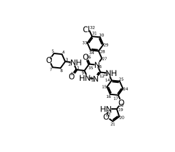 O=C(NC1CCOCC1)C1NN=C(Nc2ccc(OC3C=CON3)cc2)N(Cc2ccc(Cl)cc2)C1=O